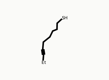 CCC#CCCCCCS